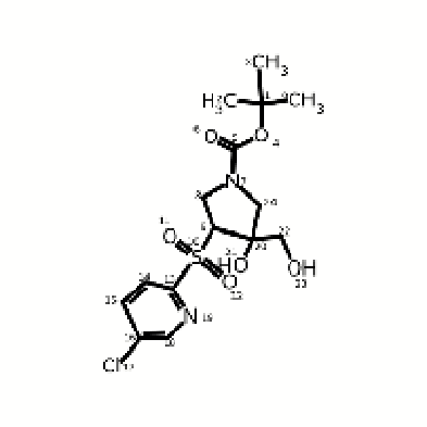 CC(C)(C)OC(=O)N1CC(S(=O)(=O)c2ccc(Cl)cn2)C(O)(CO)C1